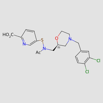 CC(=O)N(C[C@@H]1CN(Cc2ccc(Cl)c(Cl)c2)CCO1)Sc1ccc(C(=O)O)nc1